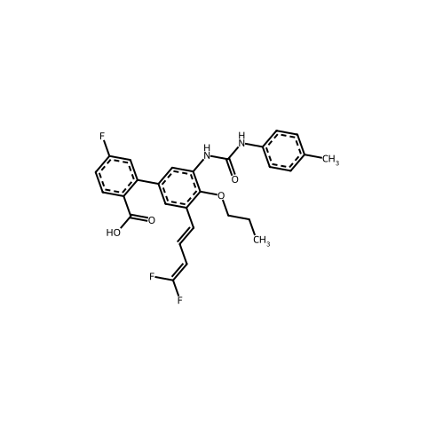 CCCOc1c(C=CC=C(F)F)cc(-c2cc(F)ccc2C(=O)O)cc1NC(=O)Nc1ccc(C)cc1